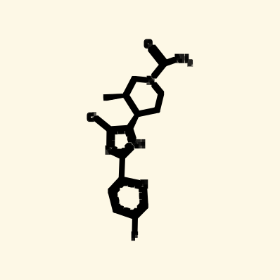 C[C@H]1CN(C(N)=O)CC[C@H]1c1[nH]c(-c2ccc(F)cn2)nc1Cl